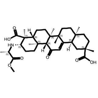 COC(=O)[C@H](C)N[C@H]1CC[C@@]2(C)[C@@H](CC[C@]3(C)[C@@H]2C(=O)C=C2[C@@H]4C[C@@](C)(C(=O)O)CC[C@]4(C)CC[C@]23C)[C@]1(C)C(=O)O